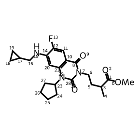 COC(=O)C(C)CCn1c(=O)c2cc(F)c(NCC3CC3)cc2n(C2CCCC2)c1=O